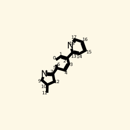 C/C=C(\C=C/C(C)C1=NCC(C)C1)c1ccccn1